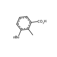 CCCCc1cccc(C(=O)O)c1C